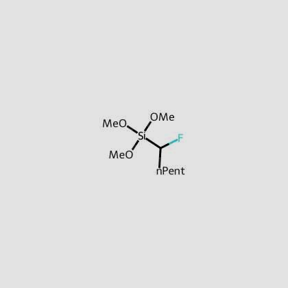 CCCCCC(F)[Si](OC)(OC)OC